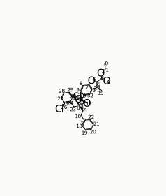 CCOC(=O)c1oc2ccc(S(=O)(=O)N(CCc3ccccc3)Cc3c(Cl)cccc3Cl)cc2c1C